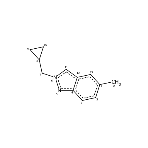 Cc1ccc2nn(CC3CC3)cc2c1